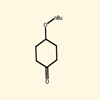 CCCCOC1CCC(=O)CC1